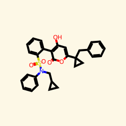 O=c1oc(C2(Cc3ccccc3)CC2)cc(O)c1-c1ccccc1S(=O)(=O)N(CC1CC1)c1ccccc1